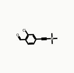 C[Si](C)(C)C#Cc1ccc(C=O)c(Cl)c1